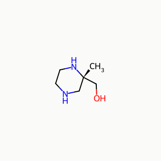 C[C@@]1(CO)CNCCN1